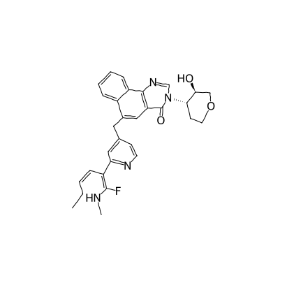 CC/C=C\C(=C(\F)NC)c1cc(Cc2cc3c(=O)n([C@H]4CCOC[C@@H]4O)cnc3c3ccccc23)ccn1